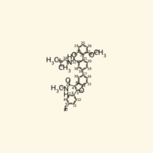 CNC(=O)c1c(-c2ccc(F)cc2)oc2ccc(-c3ccc(-c4ccccc4OC)c(C(=O)NCC(C)C)c3)cc12